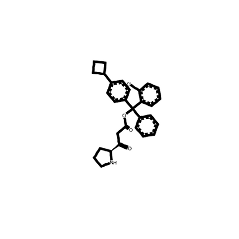 O=C(CC(=O)[C@@H]1CCCN1)OC(c1ccccc1)(c1ccc(C2CCC2)cc1)c1ccccc1Cl